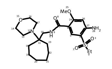 CCS(=O)(=O)c1cc(C(=O)NCC2(N3CCOCC3)CCCCCC2)c(OC)cc1N